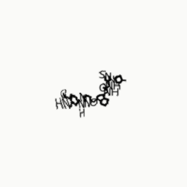 Cc1ccc(-n2nc(S(C)(C)C)cc2NC(=O)Nc2ccc(Oc3ccnc(Nc4ccc5c(c4)CNC5=O)n3)c3ccccc23)cc1